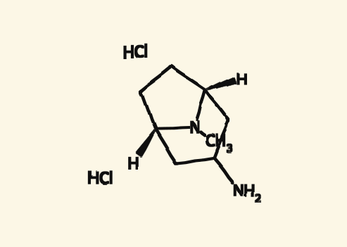 CN1[C@@H]2CC[C@H]1CC(N)C2.Cl.Cl